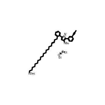 CC#Cc1cccc(C2=C(CCCC)C=C(c3ccccc3CCC=CCCCCCCCCCCCCCCCCCCCCCCCCCC)[N+]2=[N-])c1.CC[O][Ni][O]CC